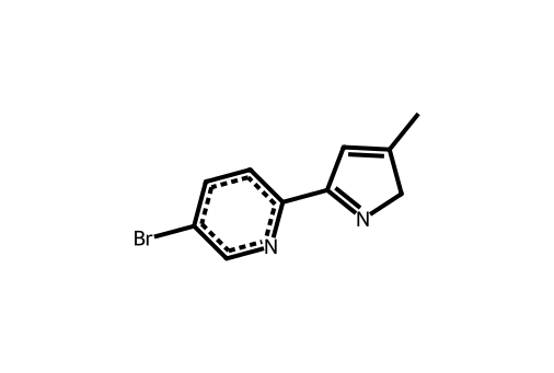 CC1=CC(c2ccc(Br)cn2)=NC1